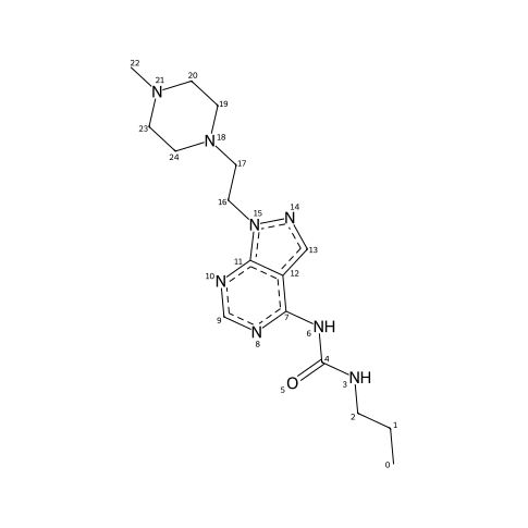 CCCNC(=O)Nc1ncnc2c1cnn2CCN1CCN(C)CC1